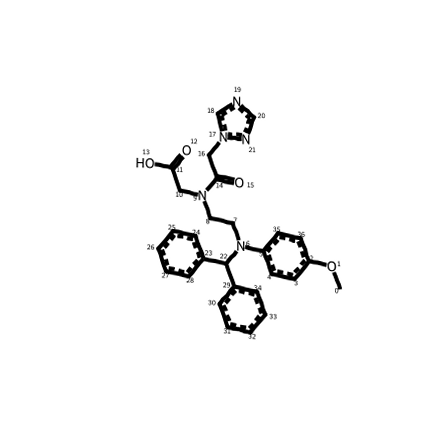 COc1ccc(N(CCN(CC(=O)O)C(=O)Cn2cncn2)C(c2ccccc2)c2ccccc2)cc1